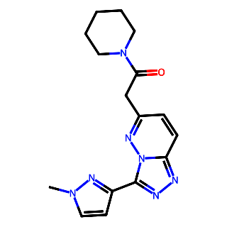 Cn1ccc(-c2nnc3ccc(CC(=O)N4CCCCC4)nn23)n1